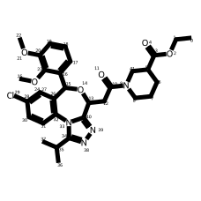 CCOC(=O)C1CCCN(C(=O)CC2OC(c3cccc(OC)c3OC)c3cc(Cl)ccc3-n3c(C(C)C)nnc32)C1